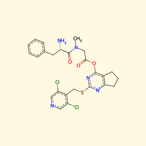 CN(CC(=O)Oc1nc(SCc2c(Cl)cncc2Cl)nc2c1CCC2)C(=O)[C@@H](N)Cc1ccccc1